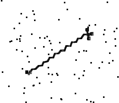 CCCCCCCCCCCC=CCCCCCCC[Si](Cl)(Cl)Cl